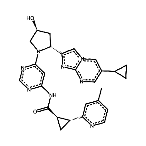 Cc1ccnc([C@@H]2C[C@H]2C(=O)Nc2cc(N3C[C@@H](O)C[C@@H]3c3cn4cc(C5CC5)cnc4n3)ncn2)c1